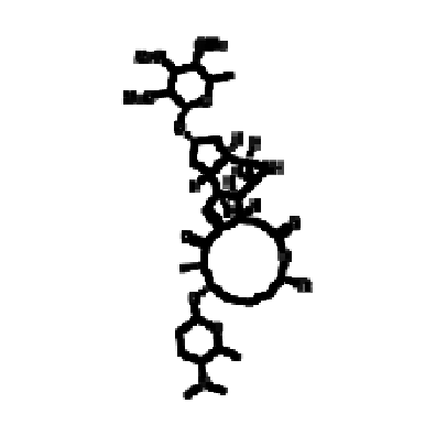 CC[C@H]1CCC[C@H](OC2CC[C@H](N(C)C)C(C)O2)[C@@H](C)C(=O)C2=C[C@H]3[C@@H]4C[C@H](O[C@@H]5OC(C)[C@H](OC)C(OC)C5OC)C[C@H]4[C@H]4N[C@H]4[C@H]3[C@@H]2CC(=O)O1